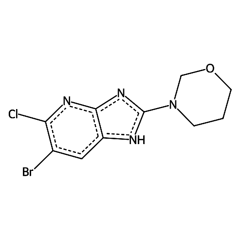 Clc1nc2nc(N3CCCOC3)[nH]c2cc1Br